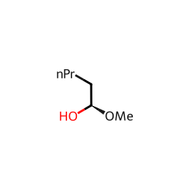 CCCC[C@H](O)OC